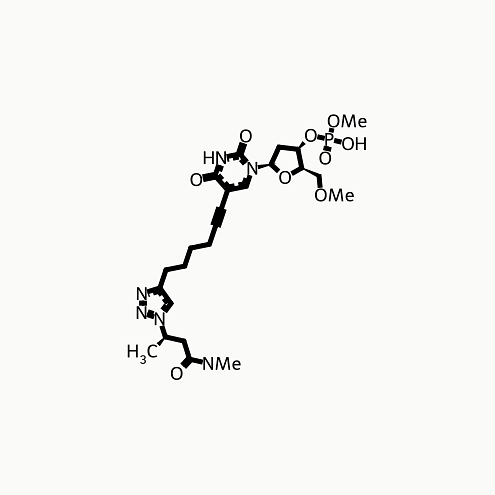 CNC(=O)C[C@@H](C)n1cc(CCCCC#Cc2cn([C@H]3C[C@@H](OP(=O)(O)OC)[C@@H](COC)O3)c(=O)[nH]c2=O)nn1